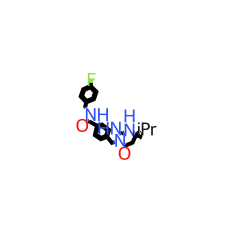 CC(C)[C@]1(C)CC(=O)N(Cc2ccc(C(=O)NCc3ccc(F)cc3)cc2)C(=N)N1